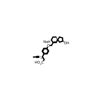 CC#C[C@@H](CC(=O)O)c1ccc(OCC2=C[C@]3(CCC2)CC[C@H](O)C3)cc1.[NaH]